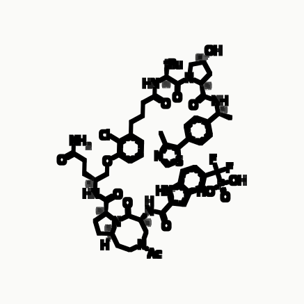 CC(=O)N1CC[C@H]2CC[C@@H](C(=O)N[C@@H](CCC(N)=O)COc3cccc(CCCC(=O)N[C@H](C(=O)N4C[C@H](O)C[C@H]4C(=O)N[C@@H](C)c4ccc(-c5scnc5C)cc4)C(C)(C)C)c3Cl)N2C(=O)[C@@H](NC(=O)c2cc3cc(C(F)(F)P(=O)(O)O)ccc3[nH]2)C1